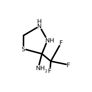 NC1(C(F)(F)F)NNCS1